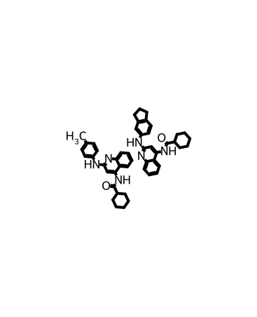 Cc1ccc(Nc2cc(NC(=O)C3CCCCC3)c3ccccc3n2)cc1.O=C(Nc1cc(Nc2ccc3c(c2)CCC3)nc2ccccc12)C1CCCCC1